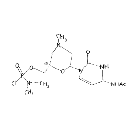 CC(=O)NC1C=CN(C2CN(C)C[C@@H](COP(=O)(Cl)N(C)C)O2)C(=O)N1